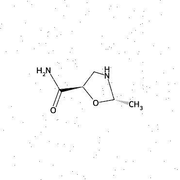 C[C@H]1NC[C@H](C(N)=O)O1